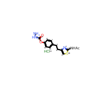 CC(=O)Nc1nc(CCc2ccc(OC(=O)NN)cc2)cs1.Cl